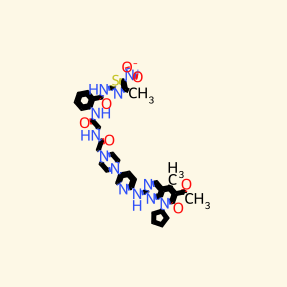 CC(=O)c1c(C)c2cnc(Nc3ccc(N4CCN(CC(=O)NCC(=O)Nc5ccccc5C(=O)Nc5nc(C)c([N+](=O)[O-])s5)CC4)cn3)nc2n(C2CCCC2)c1=O